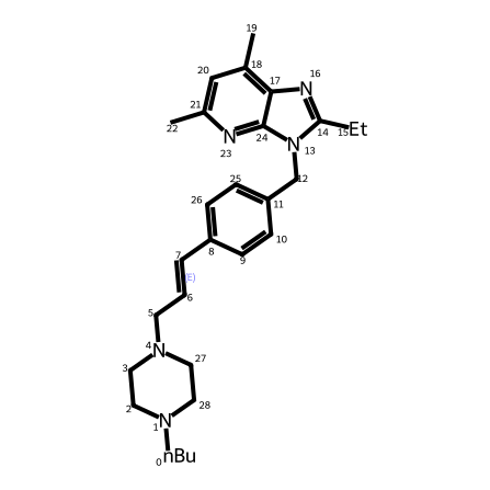 CCCCN1CCN(C/C=C/c2ccc(Cn3c(CC)nc4c(C)cc(C)nc43)cc2)CC1